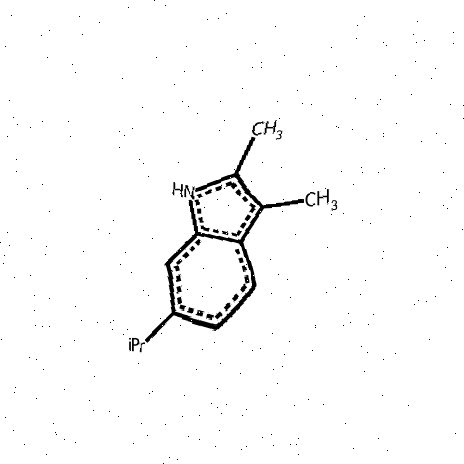 Cc1[nH]c2cc(C(C)C)ccc2c1C